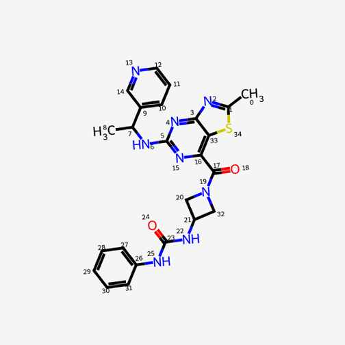 Cc1nc2nc(NC(C)c3cccnc3)nc(C(=O)N3CC(NC(=O)Nc4ccccc4)C3)c2s1